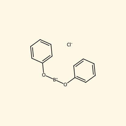 [B+](Oc1ccccc1)Oc1ccccc1.[Cl-]